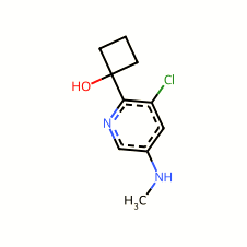 CNc1cnc(C2(O)CCC2)c(Cl)c1